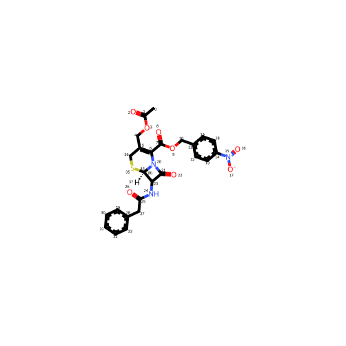 CC(=O)OCC1=C(C(=O)OCc2ccc([N+](=O)[O-])cc2)N2C(=O)C(NC(=O)Cc3ccccc3)[C@H]2SC1